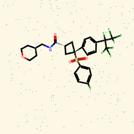 O=C(NCC1CCOCC1)[C@H]1C[C@@](c2ccc(C(F)(C(F)(F)F)C(F)(F)F)cc2)(S(=O)(=O)c2ccc(F)cc2)C1